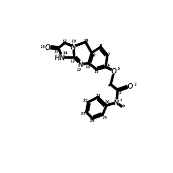 CN(C(=O)COc1ccc2c(c1)N=C1NC(=O)CN1C2)c1ccccc1